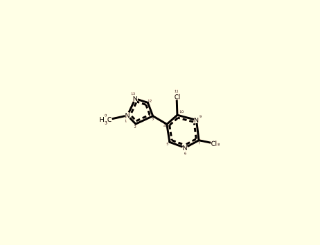 Cn1cc(-c2cnc(Cl)nc2Cl)cn1